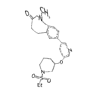 CCS(=O)(=O)N1CCCC(Oc2cncc(-c3ccc4c(c3)CCC(=O)N4C)c2)C1